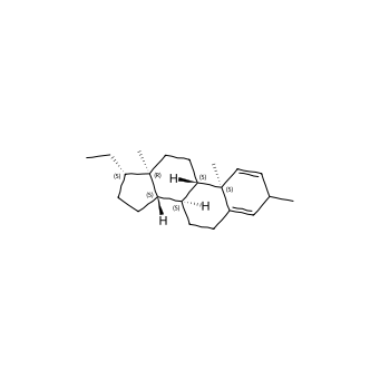 CC[C@H]1CC[C@H]2[C@@H]3CCC4=CC(C)C=C[C@]4(C)[C@H]3CC[C@]12C